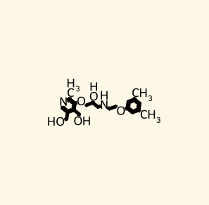 Cc1cc(C)cc(OCCNCC(O)COc2c(C)ncc(CO)c2CO)c1